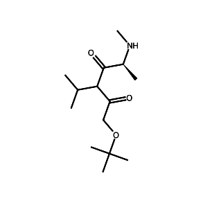 CN[C@@H](C)C(=O)C(C(=O)COC(C)(C)C)C(C)C